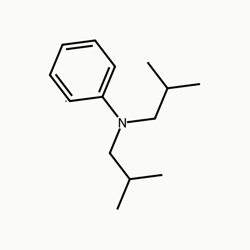 CC(C)CN(CC(C)C)c1[c]cccc1